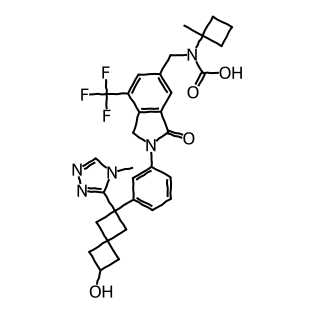 Cn1cnnc1C1(c2cccc(N3Cc4c(cc(CN(C(=O)O)C5(C)CCC5)cc4C(F)(F)F)C3=O)c2)CC2(CC(O)C2)C1